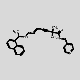 C[C@@H](NC/C=C/C#CC(C)(C)C(=O)NCc1ccncc1)c1cccc2ccccc12